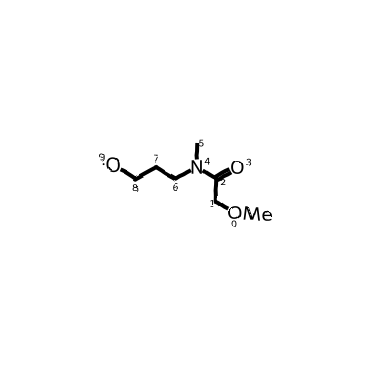 COCC(=O)N(C)CCC[O]